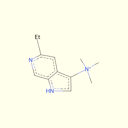 [CH2]Cc1cc2c([N+](C)(C)C)c[nH]c2cn1